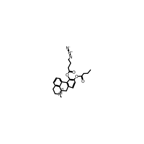 CCCC(=O)Oc1ccc2c(c1OC(=O)CCCN=[N+]=[N-])-c1cccc3c1[C@@H](C2)N(C)CC3